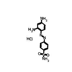 Cl.Nc1ccc(N=Nc2ccc(S(N)(=O)=O)cc2)c(N)c1